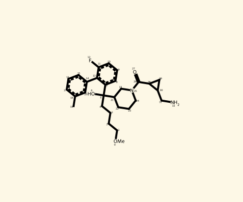 COCCCCC(O)(c1cccc(F)c1-c1cccc(C)c1)C1CCCN(C(=O)C2CC2CN)C1